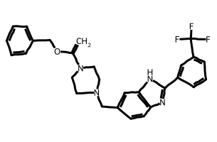 C=C(OCc1ccccc1)N1CCN(Cc2ccc3nc(-c4cccc(C(F)(F)F)c4)[nH]c3c2)CC1